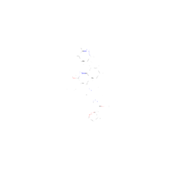 CCOC(=O)c1c(N2CCN(C(=O)c3ccco3)CC2)c2ccccc2n(Cc2ccncc2)c1=O